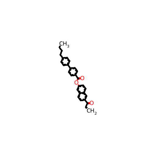 C=CC(=O)c1ccc2cc(OC(=O)c3ccc(-c4ccc(CCCC)cc4)cc3)ccc2c1